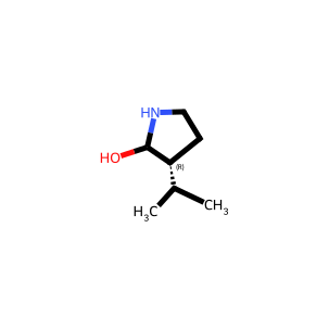 CC(C)[C@H]1CCNC1O